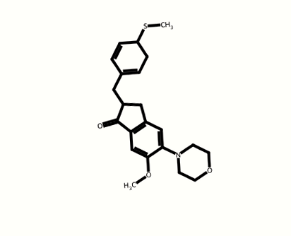 COc1cc2c(cc1N1CCOCC1)CC(CC1=CCC(SC)C=C1)C2=O